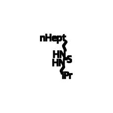 CCCCCCCCCCNC(=S)NCCC(C)C